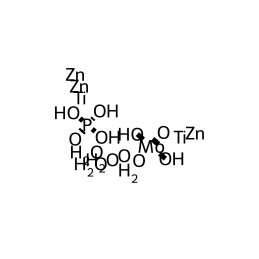 O.O.O.O.O=P(O)(O)O.[O]=[Mo](=[O])([OH])[OH].[Ti].[Ti].[Zn].[Zn].[Zn]